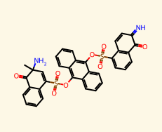 CC1(N)C=C(S(=O)(=O)Oc2c3ccccc3c(OS(=O)(=O)c3cccc4c3C=CC(=N)C4=O)c3ccccc23)c2ccccc2C1=O